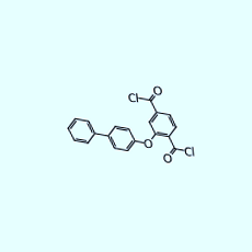 O=C(Cl)c1ccc(C(=O)Cl)c(Oc2ccc(-c3ccccc3)cc2)c1